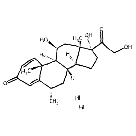 C[C@H]1C[C@@H]2[C@H]([C@@H](O)C[C@@]3(C)[C@H]2CC[C@]3(O)C(=O)CO)[C@@]2(C)C=CC(=O)C=C12.I.I